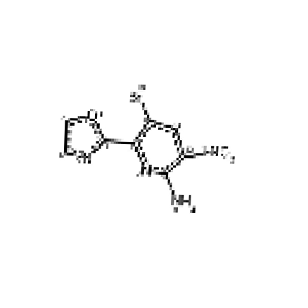 Nc1nc(-c2ncco2)c(Br)cc1[N+](=O)[O-]